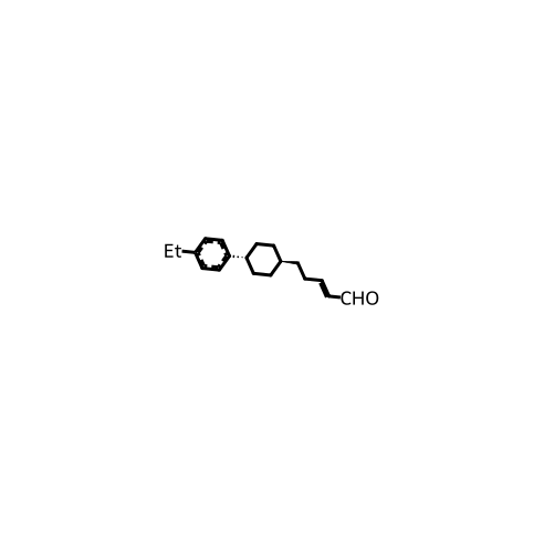 CCc1ccc([C@H]2CC[C@H](CC/C=C/C=O)CC2)cc1